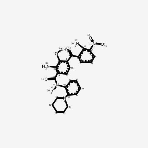 COc1c(C(=O)c2cccc([N+](=O)[O-])c2N)ccc(C(=O)N(C)c2ccccc2N2CCCCC2)c1N